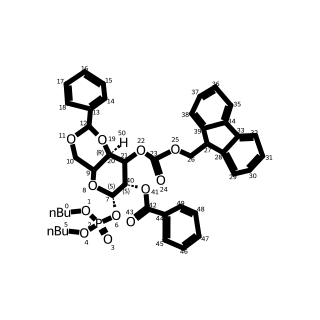 CCCCOP(=O)(OCCCC)O[C@@H]1OC2COC(c3ccccc3)O[C@H]2C(OC(=O)OCC2c3ccccc3-c3ccccc32)[C@@H]1OC(=O)c1ccccc1